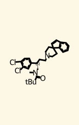 CN(C[C@@H](CCN1CCC2(C=Cc3ccccc32)CC1)c1ccc(Cl)c(Cl)c1)C(=O)C(C)(C)C